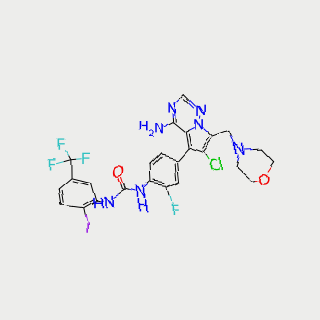 Nc1ncnn2c(CN3CCOCC3)c(Cl)c(-c3ccc(NC(=O)Nc4cc(C(F)(F)F)ccc4I)c(F)c3)c12